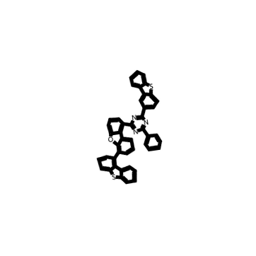 c1ccc(-c2nc(-c3ccc4sc5ccccc5c4c3)nc(-c3cccc4oc5c(-c6cccc7sc8ccccc8c67)cccc5c34)n2)cc1